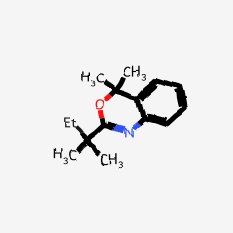 CCC(C)(C)C1=Nc2ccccc2C(C)(C)O1